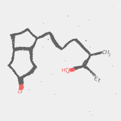 CCC(O)C(C)CCCC1CCC2CC(=O)CC12